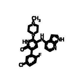 CN1CCN(c2[nH]c(=O)c(-c3cc(Cl)ccc3F)cc2Nc2ccnc3[nH]ccc23)CC1